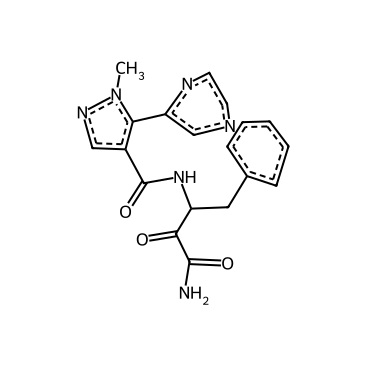 Cn1ncc(C(=O)NC(Cc2ccccc2)C(=O)C(N)=O)c1-c1cnccn1